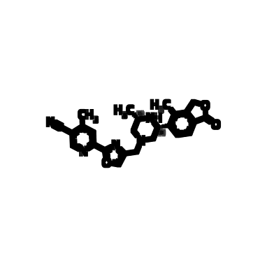 Cc1cc(-c2nc(CN3C[C@@H](c4ccc5c(c4C)COC5=O)N[C@@H](C)C3)co2)ncc1C#N